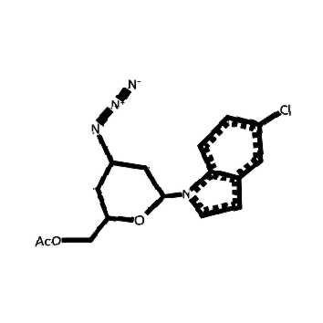 CC(=O)OCC1[CH]C(N=[N+]=[N-])[CH]C(n2ccc3cc(Cl)ccc32)O1